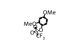 COc1ccc(OS(=O)(=O)C(F)(F)F)c(OC)c1